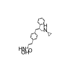 O=C(C=Cc1ccc(C=C(CNC2CC2)c2ccccc2)cc1)NO